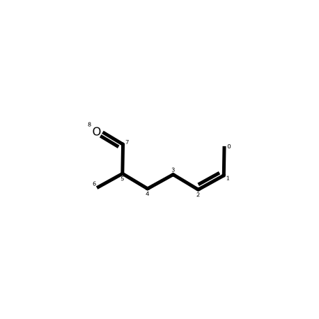 C/C=C\CCC(C)C=O